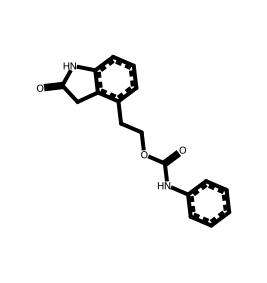 O=C1Cc2c(CCOC(=O)Nc3ccccc3)cccc2N1